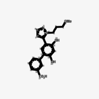 COCCCn1nnnc1-c1cc(-c2cccc(C(=O)O)c2)c(O)cc1O